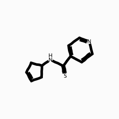 S=C(NC1CC=CC1)c1ccncc1